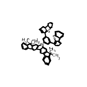 CC1(C)c2ccccc2-c2cc3c4cc5c(cc4n(-c4cc(-c6cccc7c6sc6ccccc67)cc(-c6cccc7c6sc6ccccc67)c4)c3cc21)C(C)(C)c1ccccc1-5